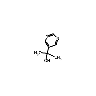 CC(C)(O)c1cncnc1